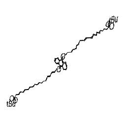 CC(C)(C)OC(=O)CCCCCCCCCCCCCCCCCCCOc1c2ccccc2c(OCCCCCCCCCCCCCCCCCCCC(=O)OC(C)(C)C)c2ccccc12